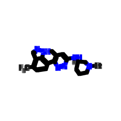 CCN1CCC[C@@H](Nc2cc(C)c(-c3ccc(C(F)(F)F)c4cn[nH]c34)nn2)C1